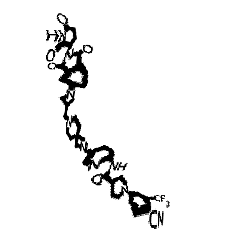 N#Cc1ccc(N2CCC(C(=O)Nc3ccc(N4CC5(CCN(CC6CN(c7ccc8c(c7)C(=O)N(C7CCC(=O)NC7=O)C8=O)C6)CC5)C4)cn3)CC2)cc1C(F)(F)F